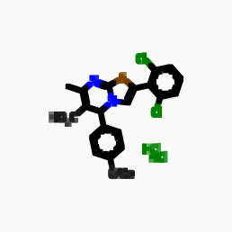 COc1ccc(C2C(C(=O)O)=C(C)N=C3SC(c4c(Cl)cccc4Cl)=CN32)cc1.Cl.Cl